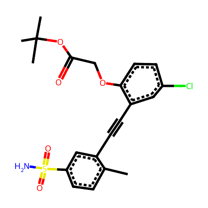 Cc1ccc(S(N)(=O)=O)cc1C#Cc1cc(Cl)ccc1OCC(=O)OC(C)(C)C